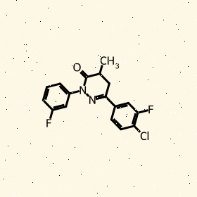 CC1CC(c2ccc(Cl)c(F)c2)=NN(c2cccc(F)c2)C1=O